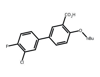 CCCCOc1ccc(-c2ccc(F)c(Cl)c2)cc1C(=O)O